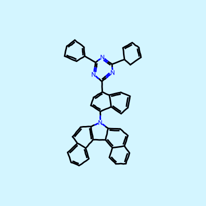 C1=CCC(c2nc(-c3ccccc3)nc(-c3ccc(-n4c5ccc6ccccc6c5c5c6ccccc6ccc54)c4ccccc34)n2)C=C1